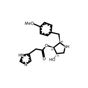 COc1ccc(C[C@H]2NC[C@H](O)[C@H]2OC(=O)Cc2cnc[nH]2)cc1